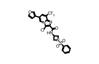 O=C(NC1CN(S(=O)(=O)c2ccccc2)C1)c1nc2c(C(F)(F)F)cc(-c3ccoc3)cn2c1Cl